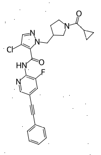 O=C(Nc1ncc(C#Cc2ccccc2)cc1F)c1c(Cl)cnn1CC1CCN(C(=O)C2CC2)C1